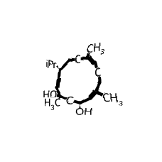 C/C1=C/[C@H](O)C[C@@](C)(O)/C=C\[C@H](C(C)C)CC/C(C)=C\CC1